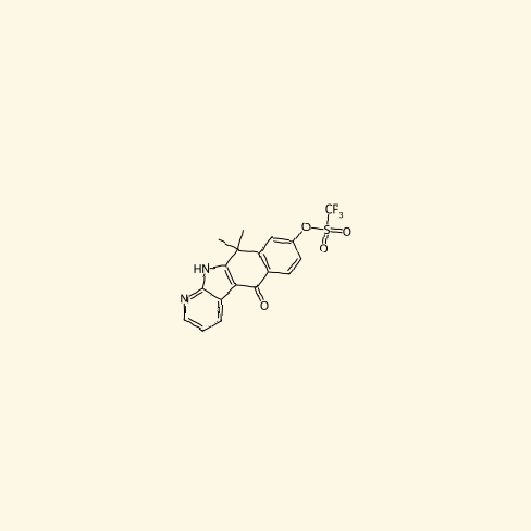 CC1(C)c2cc(OS(=O)(=O)C(F)(F)F)ccc2C(=O)c2c1[nH]c1ncccc21